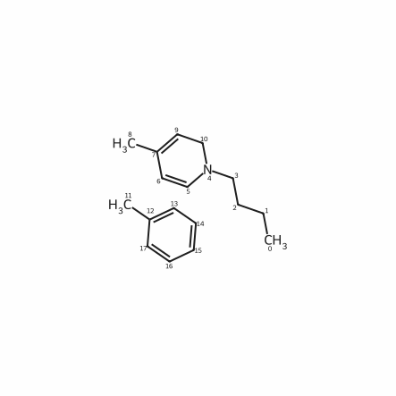 CCCCN1C=CC(C)=CC1.Cc1ccccc1